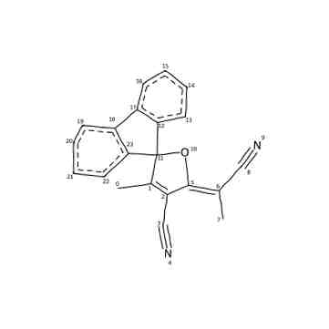 CC1=C(C#N)/C(=C(\C)C#N)OC12c1ccccc1-c1ccccc12